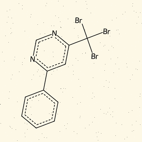 BrC(Br)(Br)c1cc(-c2ccccc2)ncn1